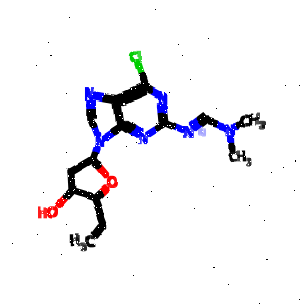 CCC1OC(n2cnc3c(Cl)nc(/N=C/N(C)C)nc32)CC1O